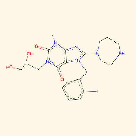 Cn1c(=O)n(CC(O)CO)c(=O)c2c1nc(N1CCCNCC1)n2Cc1ccccc1I